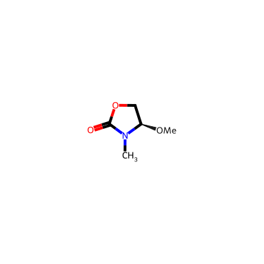 CO[C@@H]1COC(=O)N1C